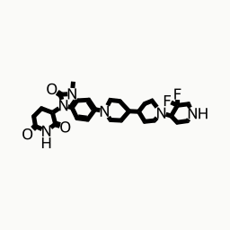 Cn1c(=O)n(C2CCC(=O)NC2=O)c2ccc(N3CCC(C4CCN(C5CCNCC5(F)F)CC4)CC3)cc21